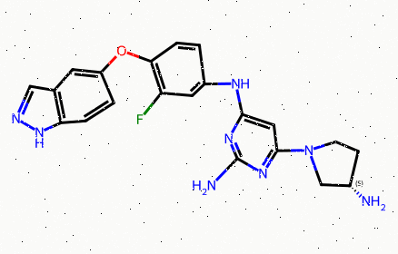 Nc1nc(Nc2ccc(Oc3ccc4[nH]ncc4c3)c(F)c2)cc(N2CC[C@H](N)C2)n1